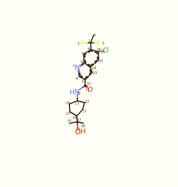 CC(F)(F)c1cc2ncc(C(=O)NC3CCC(C(C)(C)O)CC3)cc2cc1Cl